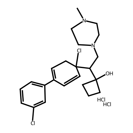 CN1CCN(CC(C2(Cl)C=CC(c3cccc(Cl)c3)=CC2)C2(O)CCC2)CC1.Cl.Cl